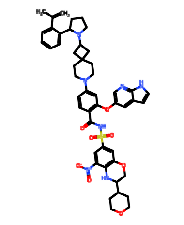 C=C(C)c1ccccc1C1CCCN1C1CC2(CCN(c3ccc(C(=O)NS(=O)(=O)c4cc5c(c([N+](=O)[O-])c4)NC(C4CCOCC4)CO5)c(Oc4cnc5[nH]ccc5c4)c3)CC2)C1